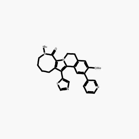 COc1cc2c(cc1-c1cccnc1)-c1c(-c3cncs3)c3c(n1CC2)C(=O)N(C(C)(C)C)CCCC3